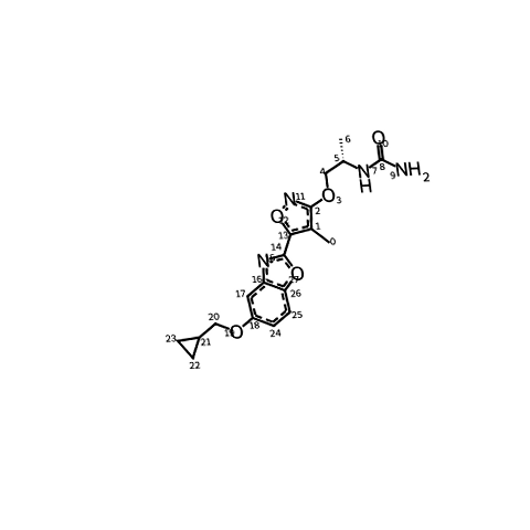 Cc1c(OC[C@H](C)NC(N)=O)noc1-c1nc2cc(OCC3CC3)ccc2o1